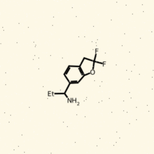 CCC(N)c1ccc2c(c1)OC(F)(F)C2